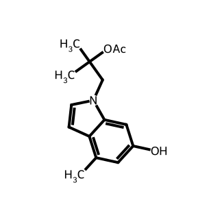 CC(=O)OC(C)(C)Cn1ccc2c(C)cc(O)cc21